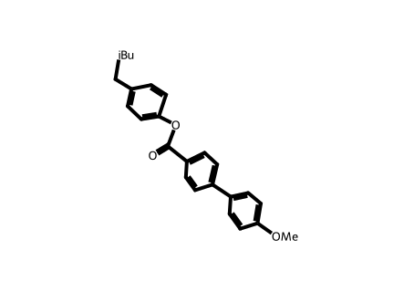 CCC(C)Cc1ccc(OC(=O)c2ccc(-c3ccc(OC)cc3)cc2)cc1